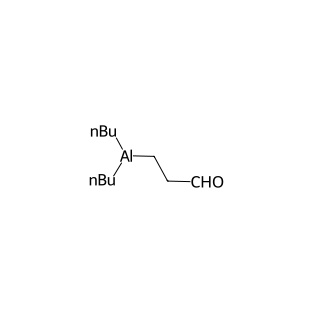 CCC[CH2][Al]([CH2]CC=O)[CH2]CCC